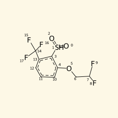 O=[SH](=O)c1c(OCC(F)F)cccc1C(F)(F)F